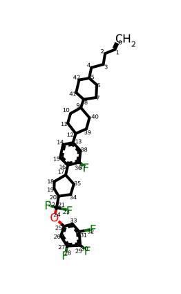 C=CCCCC1CCC(C2CCC(c3ccc(C4CCC(C(F)(F)Oc5cc(F)c(F)c(F)c5)CC4)c(F)c3)CC2)CC1